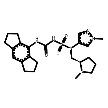 CN1CCC[C@@H]1CN(c1cnn(C)c1)S(=O)(=O)NC(=O)Nc1c2c(cc3c1CCC3)CCC2